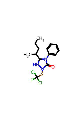 CCCC(C)C1NN(SC(F)(Cl)Cl)C(=O)N1c1ccccc1